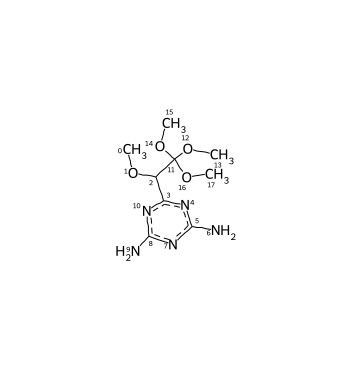 COC(c1nc(N)nc(N)n1)C(OC)(OC)OC